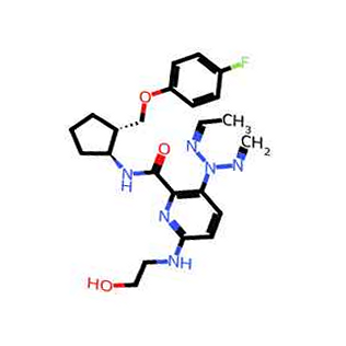 C=NN(/N=C\C)c1ccc(NCCO)nc1C(=O)N[C@H]1CCC[C@@H]1COc1ccc(F)cc1